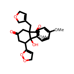 COC(=O)C1(CC2=CCOC2)CC(=O)CC(C2=CCOO2)C1(O)c1ccc(OC)cc1